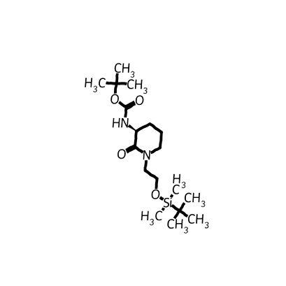 CC(C)(C)OC(=O)N[C@H]1CCCN(CCO[Si](C)(C)C(C)(C)C)C1=O